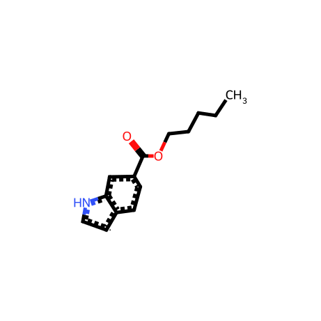 CCCCCOC(=O)c1ccc2[c]c[nH]c2c1